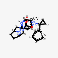 N#Cc1ccc(N2C3CCC2CN(C(=O)CNC2(c4ccccc4)CC2)C3)nc1